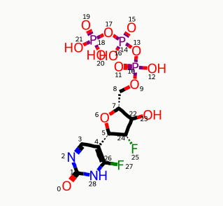 O=c1ncc([C@@H]2O[C@H](COP(=O)(O)OP(=O)(O)OP(=O)(O)O)C(O)[C@@H]2F)c(F)[nH]1